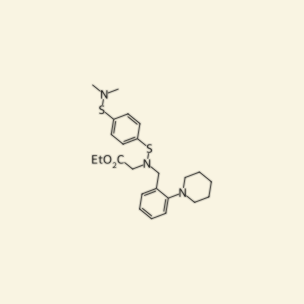 CCOC(=O)CN(Cc1ccccc1N1CCCCC1)Sc1ccc(SN(C)C)cc1